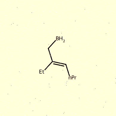 BC/C(=C/CCC)CC